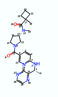 C[C@@H](Nc1ccc(C(=O)N2CC[C@H](N(C)C(=O)C3(C)CCC3)C2)cn1)c1cnccn1